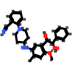 COc1cc(C)c(NC2CCN(c3ccccc3C#N)CC2)cc1C(=O)C(O)c1ccccc1